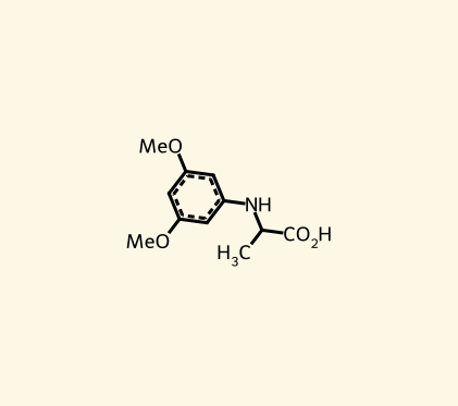 COc1cc(NC(C)C(=O)O)cc(OC)c1